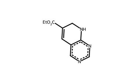 CCOC(=O)C1=Cc2cncnc2NC1